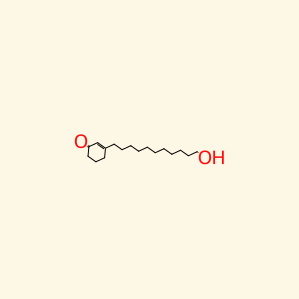 O=C1C=C(CCCCCCCCCCCO)CCC1